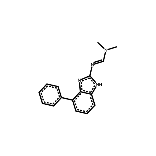 CN(C)/C=N/c1nc2c(-c3ccccc3)cccc2[nH]1